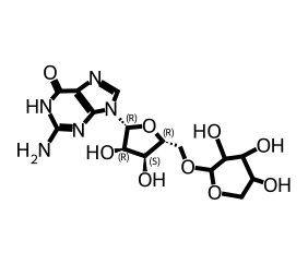 Nc1nc2c(ncn2[C@@H]2O[C@H](COC3OCC(O)C(O)C3O)[C@@H](O)[C@H]2O)c(=O)[nH]1